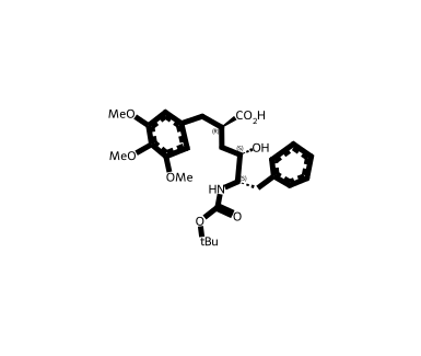 COc1cc(C[C@H](C[C@H](O)[C@H](Cc2ccccc2)NC(=O)OC(C)(C)C)C(=O)O)cc(OC)c1OC